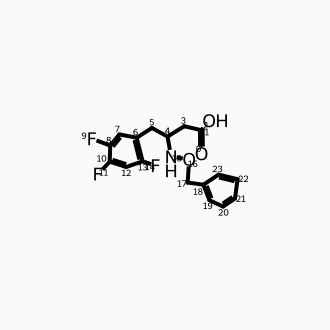 O=C(O)CC(Cc1cc(F)c(F)cc1F)NOCc1ccccc1